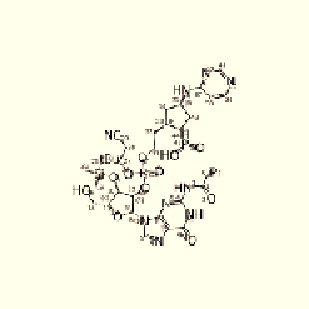 CC(C)C(=O)Nc1nc2c(ncn2[C@@H]2O[C@H](CO)C(O[Si](C)(C)C(C)(C)C)[C@H]2OP(=O)(OCCC#N)OCC[C@H]2C[C@@H](Nc3ccncn3)C[C@@H]2[PH](=O)O)c(=O)[nH]1